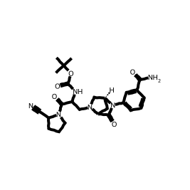 CC(C)(C)OC(=O)NC(CN1C[C@@H]2CC1C(=O)N2c1cccc(C(N)=O)c1)C(=O)N1CCCC1C#N